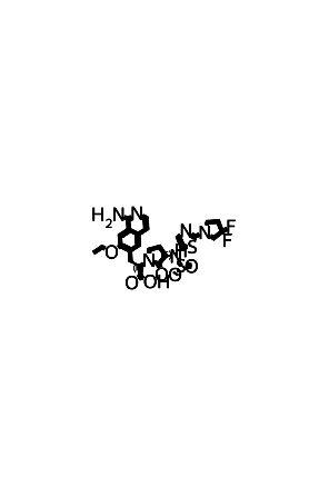 CCOc1cc2c(N)nccc2cc1C[C@H](C(=O)O)N1CC[C@H](N(c2cnc(N3CCC(F)(F)C3)s2)[SH](=O)=O)C1=O